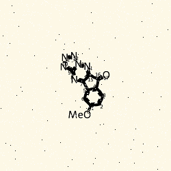 COc1ccc2c(c1)-c1nc3nnnn3nc1C2=O